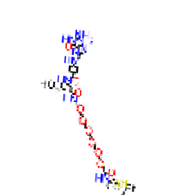 CCOC(=O)[C@H](CS)NC(=O)CCOCCOCCOCCOCCOCCOCCNC(=O)CC[C@H](NC(=O)c1ccc(NCc2cnc3nc(N)[nH]c(=O)c3n2)cc1)C(=O)O